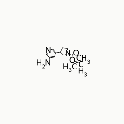 CC(C)(C)OC(=O)N1CCC(c2cncc(N)c2)C1